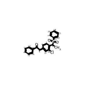 CC(c1ccc(CC(=O)c2ccccc2)cc1Cl)S(=O)(=O)c1ccccc1